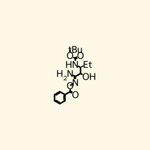 CC[C@H](NC(=O)OC(C)(C)C)C(O)/C(N)=N/OC(=O)c1ccccc1